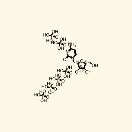 Nc1ccn(C[C@@H]2O[C@H](CO)[C@@H](O)[C@H]2O)c(=O)n1.O=P(O)(O)O.O=P(O)(O)O.O=P(O)(O)O.O=P(O)(O)O.O=P(O)(O)O.O=P(O)(O)O